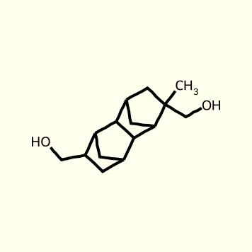 CC1(CO)CC2CC1C1C3CC(CO)C(C3)C21